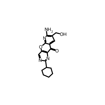 Nc1nc2oc3cnc(C4CCCCC4)nc3c(=O)c2cc1CO